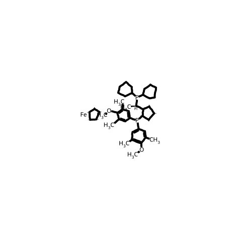 COc1c(C)cc(P([C]2[CH][CH][CH][C]2[C@@H](C)P(C2CCCCC2)C2CCCCC2)c2cc(C)c(OC)c(C)c2)cc1C.[CH]1[CH][CH][CH][CH]1.[Fe]